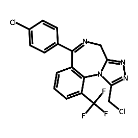 FC(F)(F)c1cccc2c1-n1c(CCl)nnc1CN=C2c1ccc(Cl)cc1